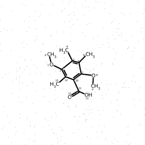 COc1c(C)c(C)c(OC)c(C(=O)O)c1C